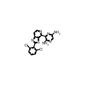 Nc1cnc(N)c(-c2nccc3nc(-c4c(Cl)cccc4Cl)sc23)n1